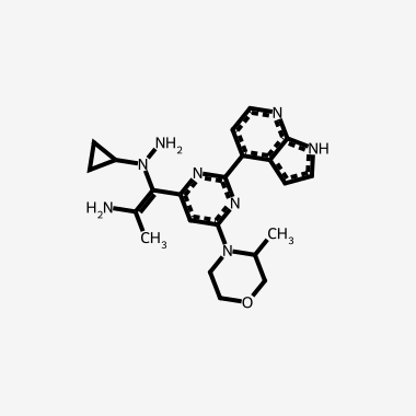 C/C(N)=C(\c1cc(N2CCOCC2C)nc(-c2ccnc3[nH]ccc23)n1)N(N)C1CC1